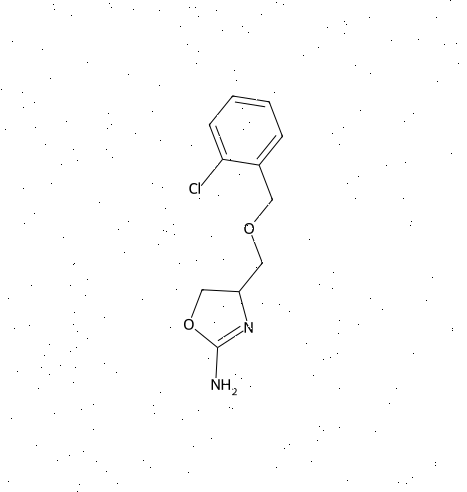 NC1=NC(COCc2ccccc2Cl)CO1